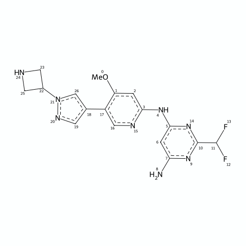 COc1cc(Nc2cc(N)nc(C(F)F)n2)ncc1-c1cnn(C2CNC2)c1